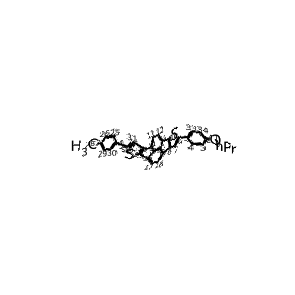 CCCOc1ccc(-c2cc3c(s2)-c2ccc4c5c(ccc-3c25)-c2sc(-c3ccc(C)cc3)cc2-4)cc1